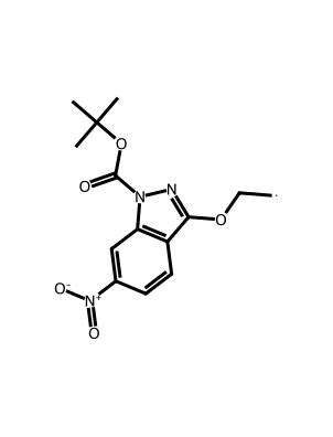 [CH2]COc1nn(C(=O)OC(C)(C)C)c2cc([N+](=O)[O-])ccc12